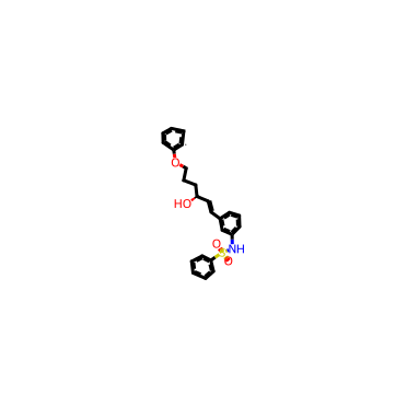 O=S(=O)(Nc1cccc(/C=C/[C@@H](O)CCCOc2[c]cccc2)c1)c1ccccc1